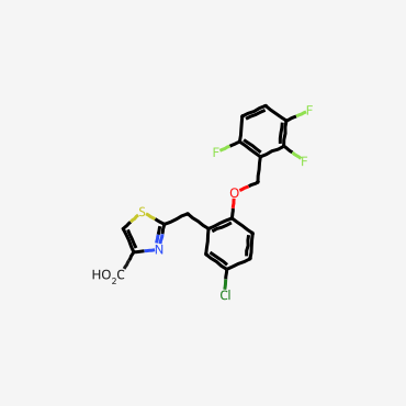 O=C(O)c1csc(Cc2cc(Cl)ccc2OCc2c(F)ccc(F)c2F)n1